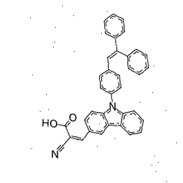 N#C/C(=C/c1ccc2c(c1)c1ccccc1n2-c1ccc(C=C(c2ccccc2)c2ccccc2)cc1)C(=O)O